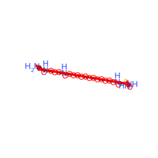 Nc1ccc(C=CC(=O)NCCCOCCOCCOCCCNC(=O)CCOCCOCCOCCOCCOCCOCCOCCOCCOCCOCCOCCOCCNC(=O)CCCCC2SCC3NC(=O)NC32)cc1